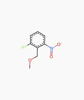 COCc1c(F)cccc1[N+](=O)[O-]